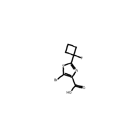 O=C(O)c1nc(C2(F)CCC2)sc1Br